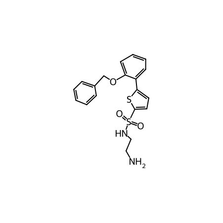 NCCNS(=O)(=O)c1ccc(-c2ccccc2OCc2ccccc2)s1